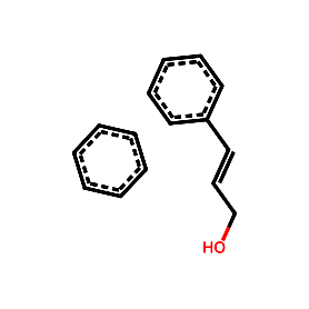 OCC=Cc1ccccc1.c1ccccc1